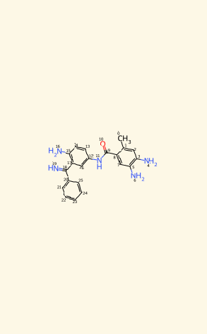 Cc1cc(N)c(N)cc1C(=O)Nc1ccc(N)c(C(=N)c2ccccc2)c1